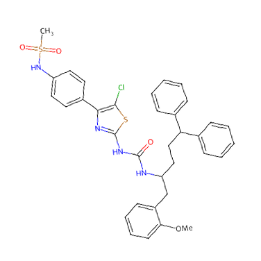 COc1ccccc1CC(CCC(c1ccccc1)c1ccccc1)NC(=O)Nc1nc(-c2ccc(NS(C)(=O)=O)cc2)c(Cl)s1